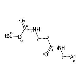 CC(=O)CNC(=O)CCNC(=O)OC(C)(C)C